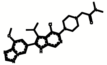 COc1cc(-c2[nH]c3cnc(N4CCN(CC(=O)N(C)C)CC4)c(Cl)c3c2C(C)C)cn2ncnc12